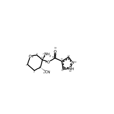 N#C[C@@H]1CCOC[C@]1(N)OC(=O)c1cn[nH]c1